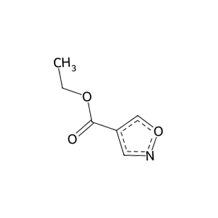 CCOC(=O)c1cnoc1